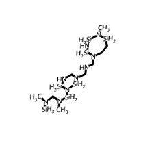 CN([SiH3])CN(C)[SiH2]N1[SiH2]NCN(CNCN2CC[SiH2]N(C)[SiH2]N[SiH2]2)[SiH2]1